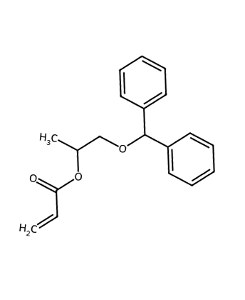 C=CC(=O)OC(C)COC(c1ccccc1)c1ccccc1